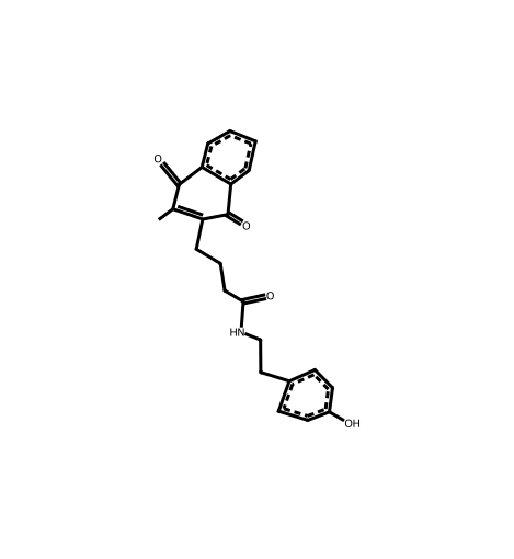 CC1=C(CCCC(=O)NCCc2ccc(O)cc2)C(=O)c2ccccc2C1=O